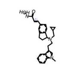 Cn1cc(CCN(CC2CC2)C2CCc3cc(/C=C/C(=O)NO)ccc32)c2ccccc21